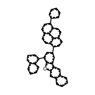 c1ccc(-c2ccc3ccc4c(-c5cc(-c6cccc7ccccc67)c6oc7cc8ccccc8cc7c6c5)ccc5ccc2c3c54)cc1